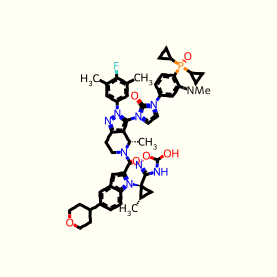 CNc1cc(-n2ccn(-c3c4c(nn3-c3cc(C)c(F)c(C)c3)CCN(C(=O)c3cc5cc(C6CCOCC6)ccc5n3[C@@]3(C5=NOC(O)N5)C[C@@H]3C)[C@H]4C)c2=O)ccc1P(=O)(C1CC1)C1CC1